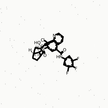 O=C(Nc1cc(F)c(F)c(F)c1)c1ccc(Cl)c(S(=O)(=O)[C@H]2C3CC[C@H]2C[C@@](O)(C#Cc2ccccn2)C3)c1